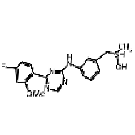 COc1cc(F)ccc1-c1ncnc(Nc2cccc(C[SH](C)O)c2)n1